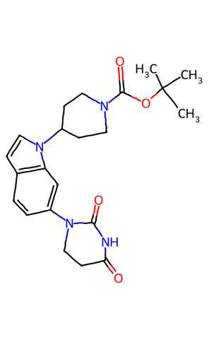 CC(C)(C)OC(=O)N1CCC(n2ccc3ccc(N4CCC(=O)NC4=O)cc32)CC1